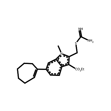 CCOC(=O)c1c(CSC(=N)N)n(C)c2cc(C3=CCCCCC3)ccc12